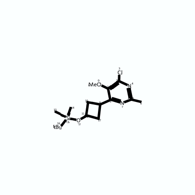 COc1c(Cl)nc(C)nc1C1CC(O[Si](C)(C)C(C)(C)C)C1